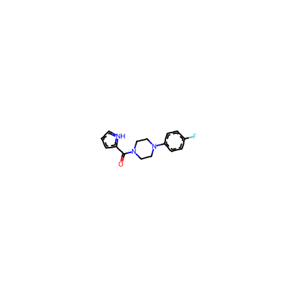 O=C(c1ccc[nH]1)N1CCN(c2ccc(F)cc2)CC1